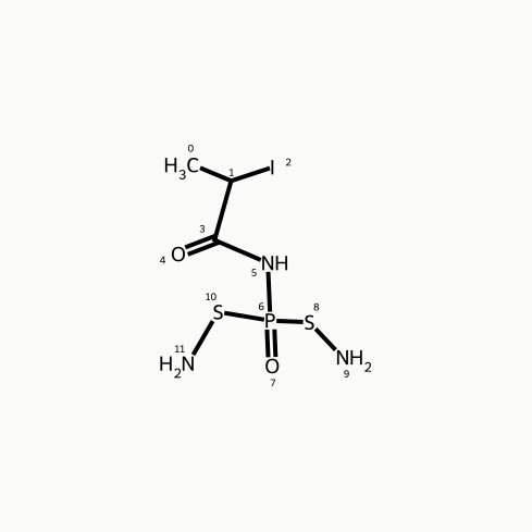 CC(I)C(=O)NP(=O)(SN)SN